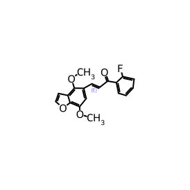 COc1c(/C=C/C(=O)c2ccccc2F)cc(OC)c2occc12